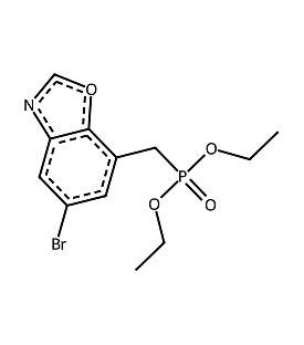 CCOP(=O)(Cc1cc(Br)cc2ncoc12)OCC